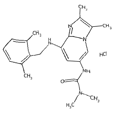 Cc1cccc(C)c1CNc1cc(NC(=O)N(C)C)cn2c(C)c(C)nc12.Cl